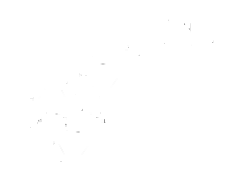 CCN(CC)CCCCOc1ccc(C(=C(Cl)c2ccccc2)c2cccc(O)c2)cc1